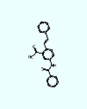 O=C(Nc1ccc(C=Cc2ccccc2)c(C(=O)O)c1)c1ccccc1